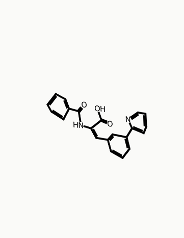 O=C(O)/C(=C\c1cccc(-c2ccccn2)c1)NC(=O)c1ccccc1